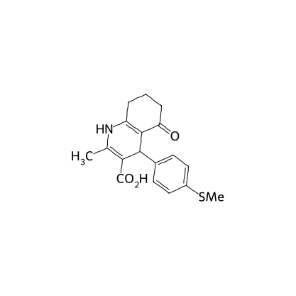 CSc1ccc(C2C(C(=O)O)=C(C)NC3=C2C(=O)CCC3)cc1